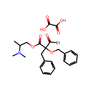 CCC(=O)C(Cc1ccccc1)(OCc1ccccc1)C(=O)OCC(C)N(C)C.O=C(O)C(=O)O